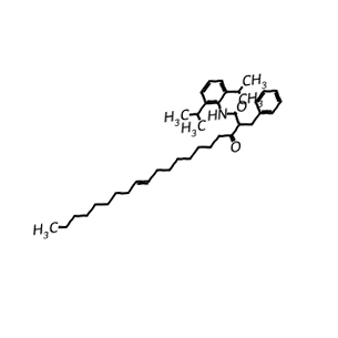 CCCCCCCC/C=C/CCCCCCCC(=O)C(Cc1ccccc1)C(=O)Nc1c(C(C)C)cccc1C(C)C